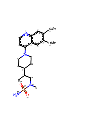 COc1cc2nccc(N3CCC(C(C)CN(C)S(N)(=O)=O)CC3)c2cc1OC